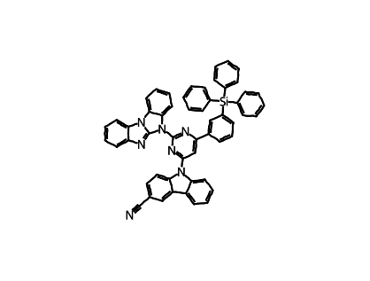 N#Cc1ccc2c(c1)c1ccccc1n2-c1cc(-c2cccc([Si](c3ccccc3)(c3ccccc3)c3ccccc3)c2)nc(-n2c3ccccc3n3c4ccccc4nc23)n1